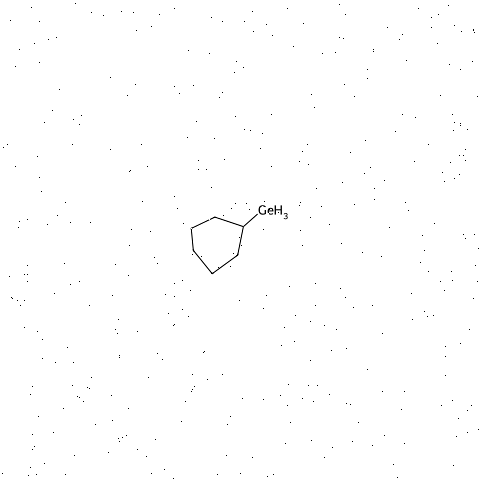 [GeH3][CH]1CCCCC1